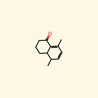 CC1=C2C(=O)CCCC2C(C)C=C1